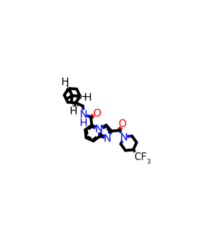 CC1(C)[C@H]2CC[C@@H](CNC(=O)c3cccc4nc(C(=O)N5CCC(C(F)(F)F)CC5)cn34)[C@@H]1C2